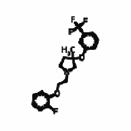 CC1(Oc2cccc(C(F)(F)F)c2)CCN(CCOc2ccccc2F)C1